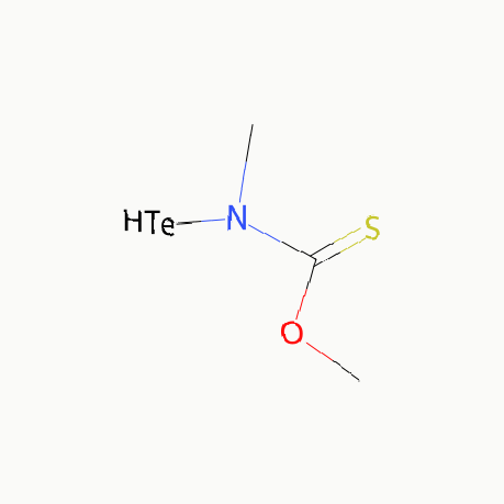 COC(=S)N(C)[TeH]